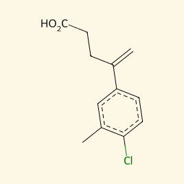 C=C(CCC(=O)O)c1ccc(Cl)c(C)c1